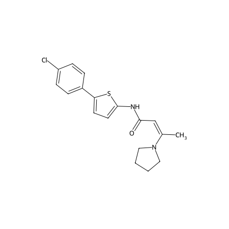 CC(=CC(=O)Nc1ccc(-c2ccc(Cl)cc2)s1)N1CCCC1